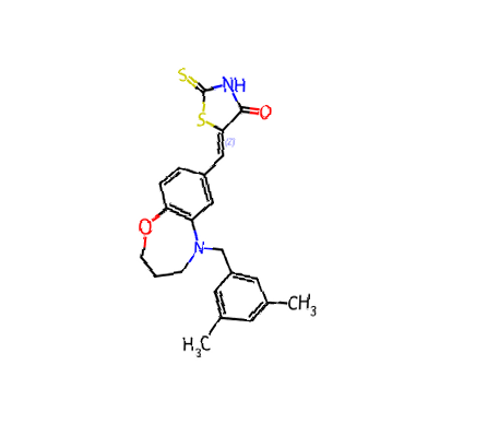 Cc1cc(C)cc(CN2CCCOc3ccc(/C=C4\SC(=S)NC4=O)cc32)c1